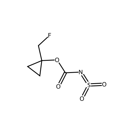 O=C(N=S(=O)=O)OC1(CF)CC1